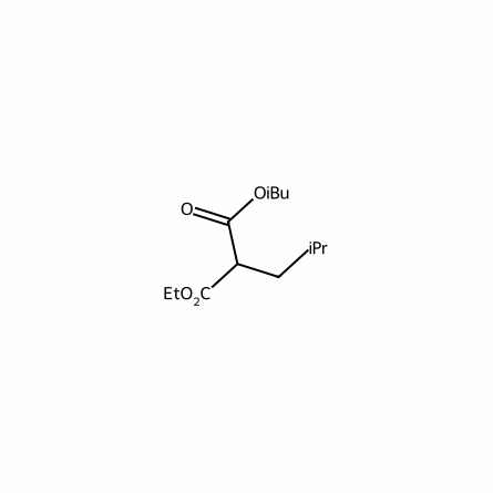 CCOC(=O)C(CC(C)C)C(=O)OCC(C)C